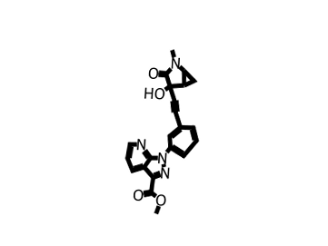 COC(=O)c1nn(-c2cccc(C#CC3(O)C(=O)N(C)C4CC43)c2)c2ncccc12